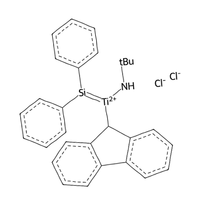 CC(C)(C)[NH][Ti+2]([CH]1c2ccccc2-c2ccccc21)=[Si](c1ccccc1)c1ccccc1.[Cl-].[Cl-]